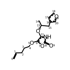 C=CCCCOc1oc(=O)[nH]c1OC(C)Cc1ccoc1